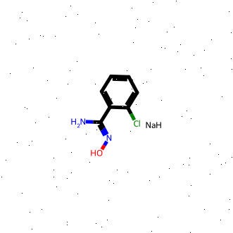 NC(=NO)c1ccccc1Cl.[NaH]